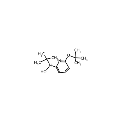 CC(C)(C)Oc1cccc(N(O)C(C)(C)C)n1